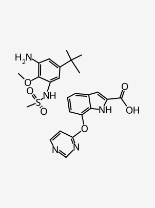 COc1c(N)cc(C(C)(C)C)cc1NS(C)(=O)=O.O=C(O)c1cc2cccc(Oc3ccncn3)c2[nH]1